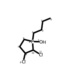 CCCC[P]1(O)CCC(Cl)C1Cl